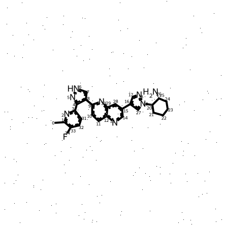 Cc1nc(-c2n[nH]cc2-c2ccc3ncc(-c4cnn(C5CCCC[C@H]5N)c4)cc3n2)ccc1F